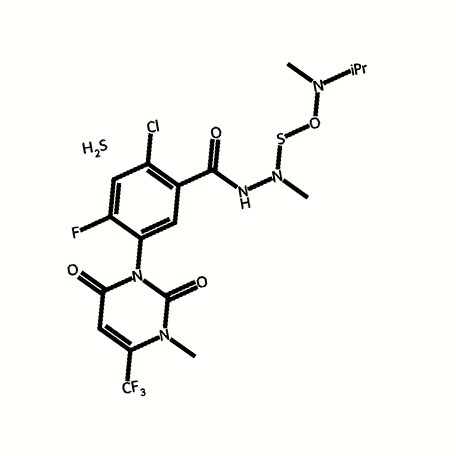 CC(C)N(C)OSN(C)NC(=O)c1cc(-n2c(=O)cc(C(F)(F)F)n(C)c2=O)c(F)cc1Cl.S